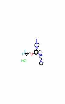 Cc1c(NCCN2CCCC2)cc(OCC2CC2(F)F)cc1N1CCNCC1.Cl